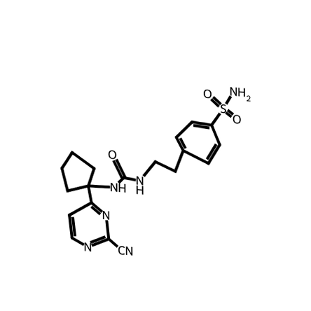 N#Cc1nccc(C2(NC(=O)NCCc3ccc(S(N)(=O)=O)cc3)CCCC2)n1